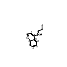 CCCNc1ccnc2ccccc12